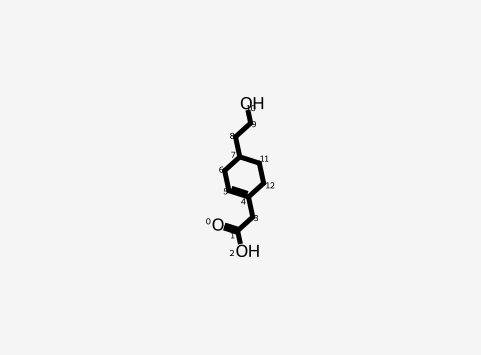 O=C(O)CC1=CCC(CCO)CC1